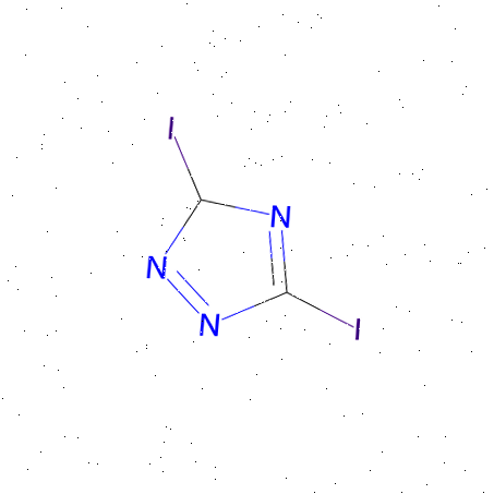 IC1=NC(I)N=N1